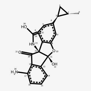 C[C@H]1C[C@@H]1c1ccc2c(c1)O[C@]1(O)c3cccc(N)c3C(=O)[C@]21NC(=O)O